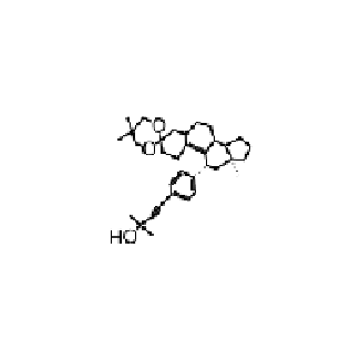 CC(C)(O)C#Cc1ccc([C@H]2C[C@]3(C)CCCC3C3CCC4CC5(CCC4=C32)OCC(C)(C)CO5)cc1